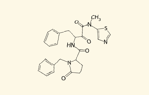 CN(C(=O)C(=O)C(Cc1ccccc1)NC(=O)C1CCC(=O)N1Cc1ccccc1)c1cncs1